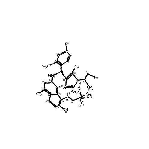 Cc1nc(F)ccc1[C@H](Nc1cc(Cl)c2ncc(C#N)c(NCC(C)(C)C(F)(F)F)c2c1)c1nnn(C(C)CF)c1F